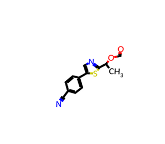 CC(OC=O)c1ncc(-c2ccc(C#N)cc2)s1